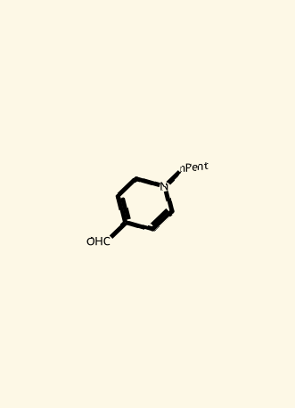 CCCCCN1C=CC(C=O)=CC1